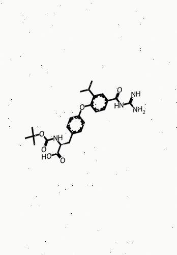 CC(C)c1cc(C(=O)NC(=N)N)ccc1Oc1ccc(C[C@H](NC(=O)OC(C)(C)C)C(=O)O)cc1